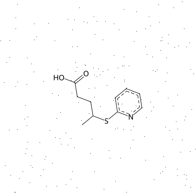 CC(CCC(=O)O)Sc1ccccn1